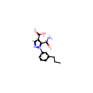 CCCc1cccc(-n2ncc(C(=O)O)c2C(N)=O)c1